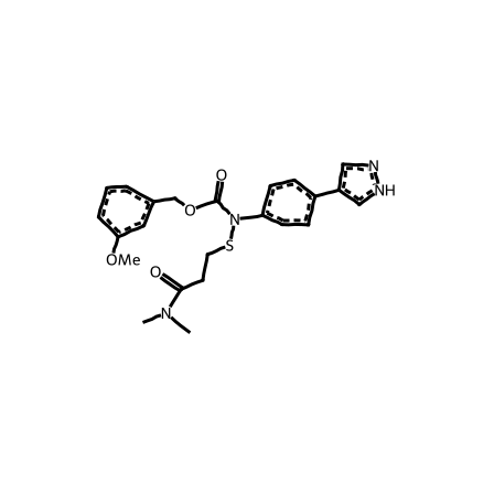 COc1cccc(COC(=O)N(SCCC(=O)N(C)C)c2ccc(-c3cn[nH]c3)cc2)c1